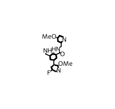 COc1ccnc(CNC(=O)c2cc(CN)cc(-c3cc(F)cnc3OC)c2)c1